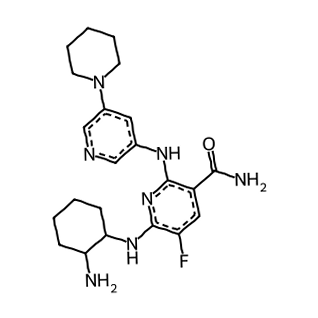 NC(=O)c1cc(F)c(NC2CCCCC2N)nc1Nc1cncc(N2CCCCC2)c1